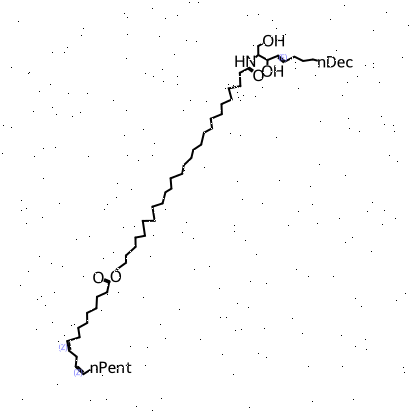 CCCCC/C=C\C/C=C\CCCCCCCC(=O)OCCCCCCCCCCCCCCCCCCCCCCCCCCCC(=O)NC(CO)C(O)/C=C/CCCCCCCCCCCCC